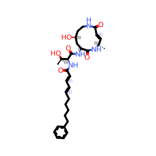 C[C@H]1/C=C/C(=O)NCC[C@H](O)C[C@H](NC(=O)[C@@H](NC(=O)/C=C/C=C/CCCCCc2ccccc2)[C@@H](C)O)C(=O)N1